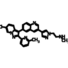 CNCCn1cc(-c2cnc3ccc(-c4c(-c5cccc(C)n5)nn5cc(Cl)ccc45)cc3c2)cn1